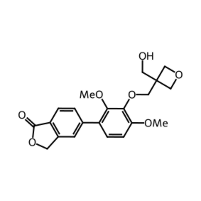 COc1ccc(-c2ccc3c(c2)COC3=O)c(OC)c1OCC1(CO)COC1